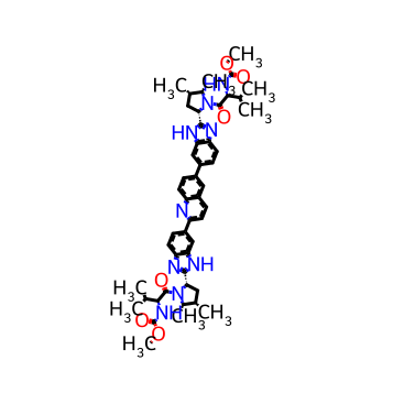 COC(=O)N[C@H](C(=O)N1[C@H](C)[C@H](C)C[C@H]1c1nc2ccc(-c3ccc4nc(-c5ccc6nc([C@@H]7C[C@@H](C)[C@@H](C)N7C(=O)[C@@H](NC(=O)OC)C(C)C)[nH]c6c5)ccc4c3)cc2[nH]1)C(C)C